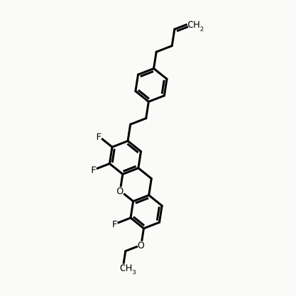 C=CCCc1ccc(CCc2cc3c(c(F)c2F)Oc2c(ccc(OCC)c2F)C3)cc1